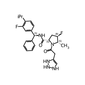 CC(C)c1ccc([C@@H](NC(=O)[C@@H]2C[C@@H](F)[C@H](C)N2C(=O)CC2=CNNN2)c2ccccc2)cc1F